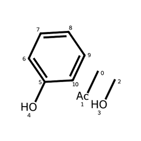 CC(C)=O.CO.Oc1ccccc1